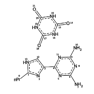 CCCc1nc(-c2nc(N)nc(N)n2)c[nH]1.O=c1[nH]c(=O)[nH]c(=O)[nH]1